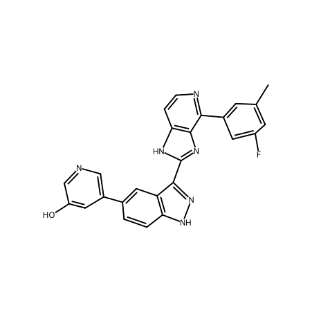 Cc1cc(F)cc(-c2nccc3[nH]c(-c4n[nH]c5ccc(-c6cncc(O)c6)cc45)nc23)c1